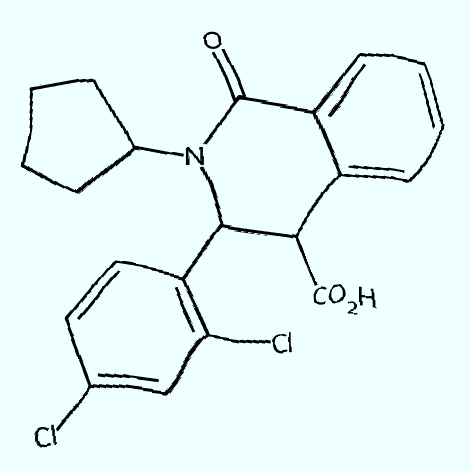 O=C(O)C1c2ccccc2C(=O)N(C2CCCC2)C1c1ccc(Cl)cc1Cl